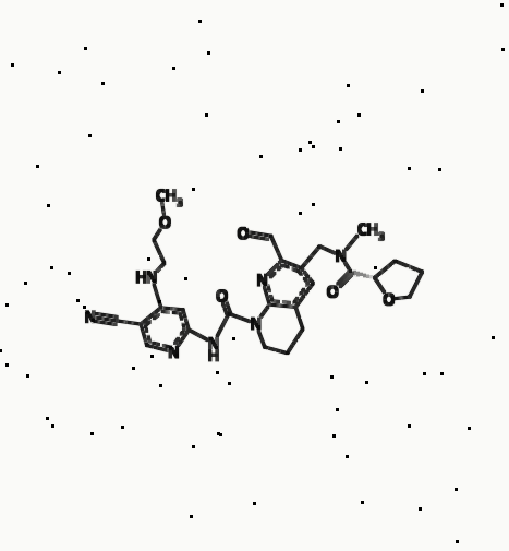 COCCNc1cc(NC(=O)N2CCCc3cc(CN(C)C(=O)[C@@H]4CCCO4)c(C=O)nc32)ncc1C#N